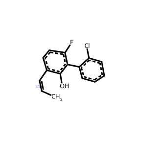 C/C=C\c1ccc(F)c(-c2ccccc2Cl)c1O